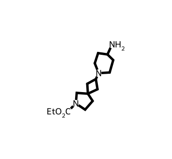 CCOC(=O)N1CCC2(CC(N3CCC(N)CC3)C2)C1